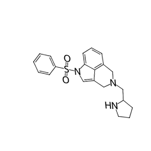 O=S(=O)(c1ccccc1)n1cc2c3c(cccc31)CN(CC1CCCN1)C2